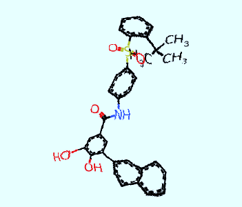 CC(C)(C)c1ccccc1S(=O)(=O)c1ccc(NC(=O)c2cc(O)c(O)c(-c3ccc4ccccc4c3)c2)cc1